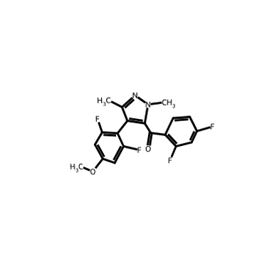 COc1cc(F)c(-c2c(C)nn(C)c2C(=O)c2ccc(F)cc2F)c(F)c1